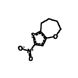 O=[N+]([O-])c1cc2c(s1)CCCCO2